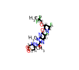 Cn1c(C(=O)NC2(C)CCS(=O)(=O)CC2)nc2cc(F)c(Oc3ncc(F)cc3OCC(C)(F)F)nc21